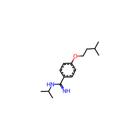 CC(C)CCOc1ccc(C(=N)NC(C)C)cc1